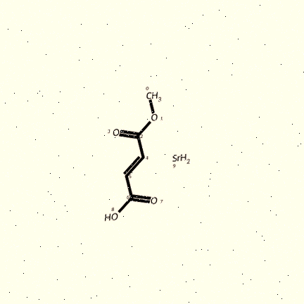 COC(=O)C=CC(=O)O.[SrH2]